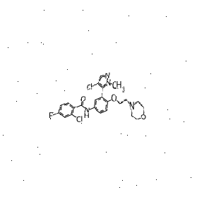 Cn1ncc(Cl)c1-c1cc(NC(=O)c2ccc(F)cc2Cl)ccc1OCCN1CCOCC1